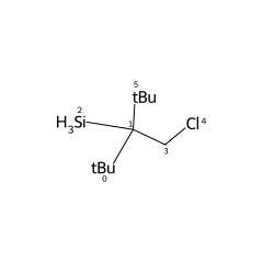 CC(C)(C)C([SiH3])(CCl)C(C)(C)C